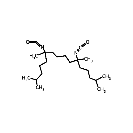 CC(C)CCCC(C)(CCCCC(C)(CCCC(C)C)N=C=O)N=C=O